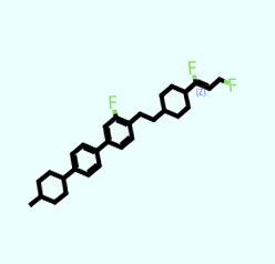 CC1CCC(c2ccc(-c3ccc(CCC4CCC(/C(F)=C/CF)CC4)c(F)c3)cc2)CC1